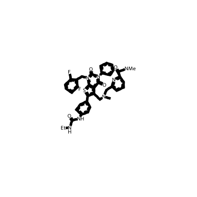 CCNC(=O)Nc1ccc(-c2sc3c(c2CN(C)Cc2cccc(C(=O)NC)n2)c(=O)n(-c2ccccc2)c(=O)n3Cc2c(F)cccc2F)cc1